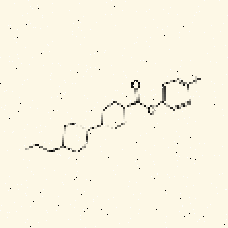 CCC[C@H]1CC[C@H]([C@H]2CC[C@H](C(=O)Oc3ccc(F)cc3)CC2)CC1